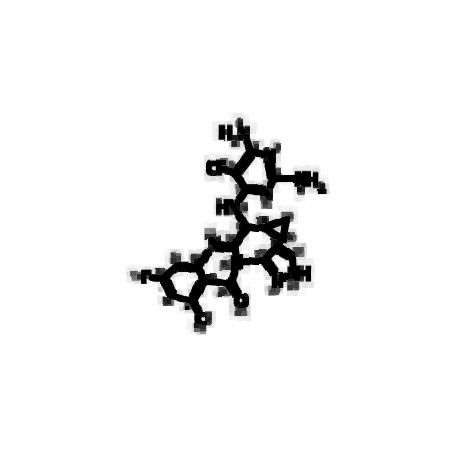 Nc1nc(N)c(Cl)c(NC(c2nc3cc(F)cc(Cl)c3c(=O)n2-c2cc[nH]n2)C2CC2)n1